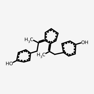 CC(Cc1ccc(O)cc1)=c1ccccc1=C(C)Cc1ccc(O)cc1